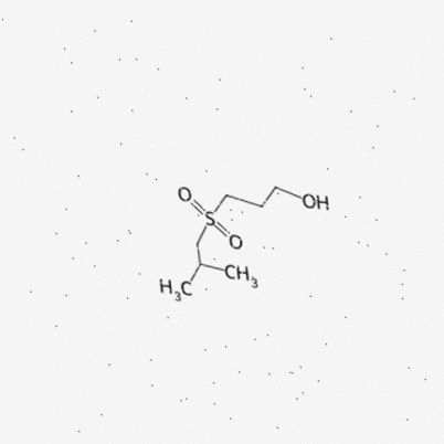 CC(C)CS(=O)(=O)CCCO